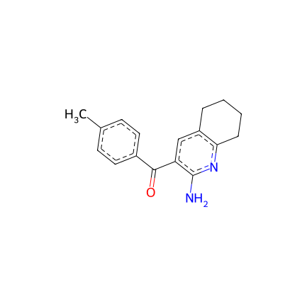 Cc1ccc(C(=O)c2cc3c(nc2N)CCCC3)cc1